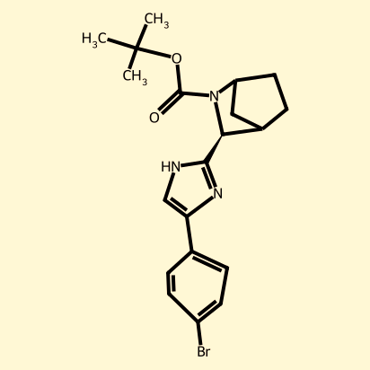 CC(C)(C)OC(=O)N1C2CCC(C2)[C@H]1c1nc(-c2ccc(Br)cc2)c[nH]1